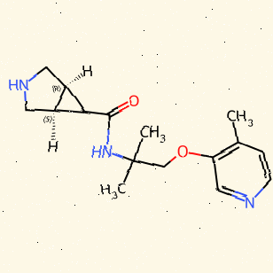 Cc1ccncc1OCC(C)(C)NC(=O)C1[C@H]2CNC[C@@H]12